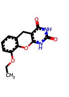 CCOc1cccc2c1Oc1[nH]c(=O)[nH]c(=O)c1C2